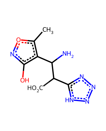 Cc1onc(O)c1C(N)C(C(=O)O)c1nnn[nH]1